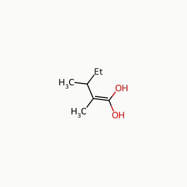 CCC(C)C(C)=C(O)O